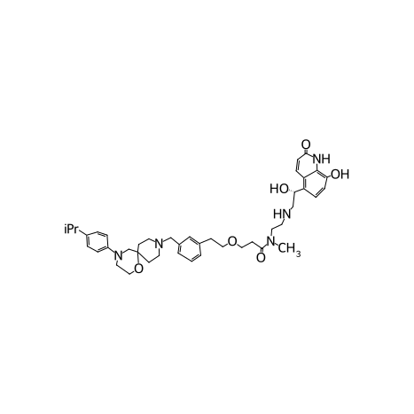 CC(C)c1ccc(N2CCOC3(CCN(Cc4cccc(CCOCCC(=O)N(C)CCNC[C@H](O)c5ccc(O)c6[nH]c(=O)ccc56)c4)CC3)C2)cc1